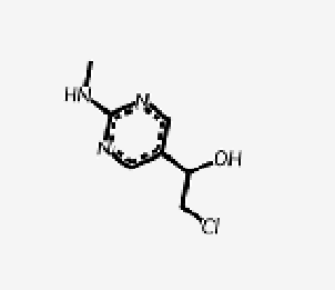 CNc1ncc(C(O)CCl)cn1